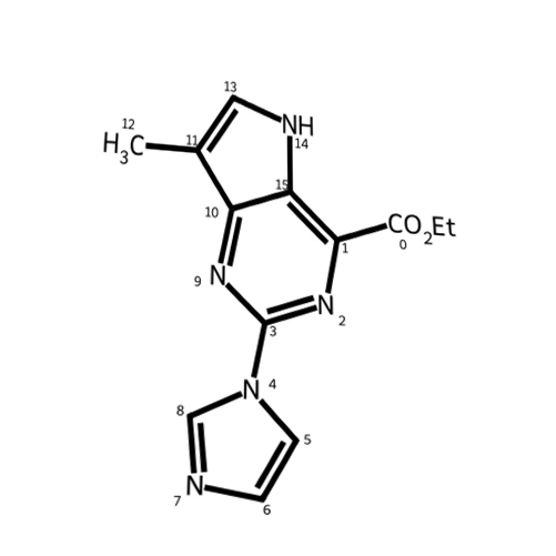 CCOC(=O)c1nc(-n2ccnc2)nc2c(C)c[nH]c12